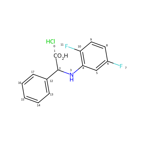 Cl.O=C(O)C(Nc1cc(F)ccc1F)c1ccccc1